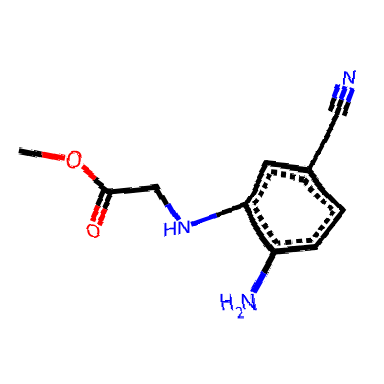 COC(=O)CNc1cc(C#N)ccc1N